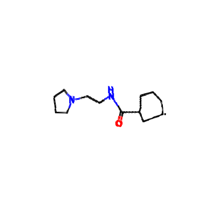 O=C(NCCN1CCCC1)C1C[CH]CCC1